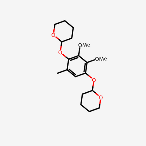 COc1c(OC2CCCCO2)cc(C)c(OC2CCCCO2)c1OC